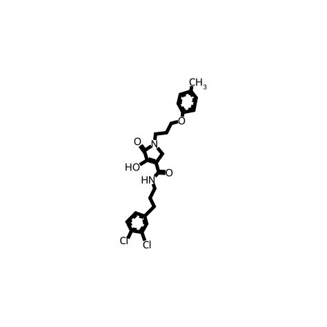 Cc1ccc(OCCCN2CC(C(=O)NCCCc3ccc(Cl)c(Cl)c3)=C(O)C2=O)cc1